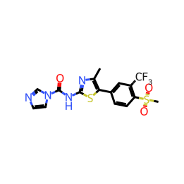 Cc1nc(NC(=O)n2ccnc2)sc1-c1ccc(S(C)(=O)=O)c(C(F)(F)F)c1